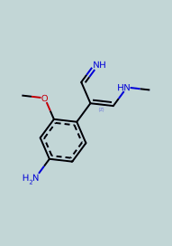 CN/C=C(\C=N)c1ccc(N)cc1OC